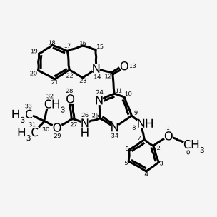 COc1ccccc1Nc1cc(C(=O)N2CCc3ccccc3C2)nc(NC(=O)OC(C)(C)C)n1